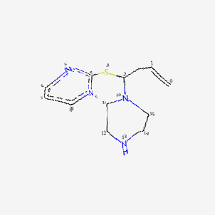 C=CC(Sc1ncccn1)N1CCNCC1